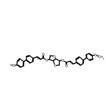 COc1ccc(-c2ccc(/C=C/C(=O)OC3COC4C(OC(=O)/C=C/c5ccc(-c6ccc(O)cc6)cc5)COC34)cc2)cc1